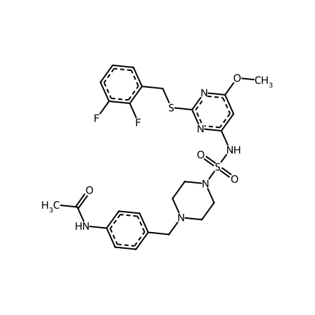 COc1cc(NS(=O)(=O)N2CCN(Cc3ccc(NC(C)=O)cc3)CC2)nc(SCc2cccc(F)c2F)n1